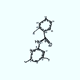 Cc1cc(C)nc(NC(=O)c2ccccc2C)c1